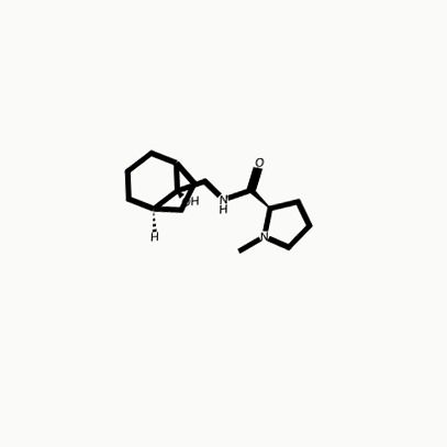 CN1CCC[C@@H]1C(=O)NC[C@@]1(O)C2CCC[C@@H]1CC2